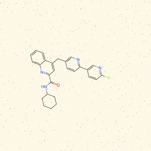 O=C(NC1CCCCC1)c1cc(Cc2ccc(-c3ccc(F)nc3)nc2)c2ccccc2n1